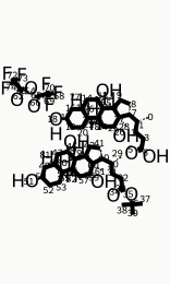 C[C@H](CCC(=O)O)[C@H]1CC[C@H]2[C@@H]3[C@H](O)C[C@@H]4C[C@H](O)CC[C@]4(C)[C@H]3C[C@H](O)[C@]12C.C[C@H](CCC(=O)OC(C)(C)C)[C@H]1CC[C@H]2[C@@H]3[C@H](O)C[C@@H]4C[C@H](O)CC[C@]4(C)[C@H]3C[C@H](O)[C@]12C.O=C(OC(=O)C(F)(F)F)C(F)(F)F